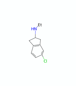 CCNC1Cc2ccc(Cl)cc2C1